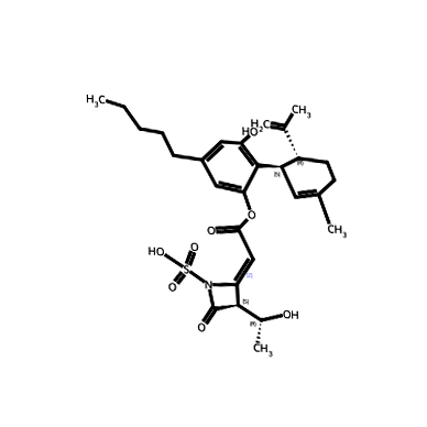 C=C(C)[C@@H]1CCC(C)=C[C@H]1c1c(O)cc(CCCCC)cc1OC(=O)/C=C1/[C@@H]([C@@H](C)O)C(=O)N1S(=O)(=O)O